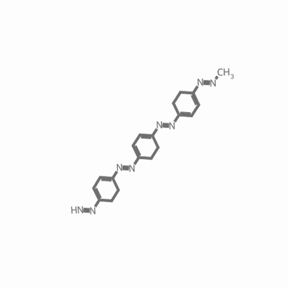 CN=NC1=CC=C(N=NC2=CC=C(N=NC3=CC=C(N=N)CC3)CC2)CC1